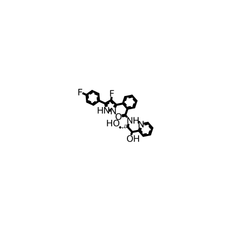 O=C(N[C@@H](CO)C(O)c1ccccn1)c1ccccc1-c1n[nH]c(-c2ccc(F)cc2)c1F